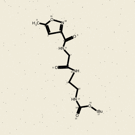 Cc1cc(C(=O)NCC(=O)NCCNC(=O)OC(C)(C)C)no1